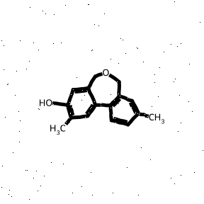 Cc1ccc2c(c1)COCc1cc(O)c(C)cc1-2